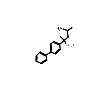 CC(N)CC(C)(C(=O)O)c1ccc(-c2ccccc2)cc1